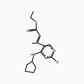 CCOC(=O)/C=C(\C)c1cnc(Cl)nc1NC1CCCC1